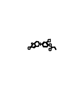 CCC(=O)Oc1ccc(N2CCC3SC(=O)C=C3C2)cc1Cl